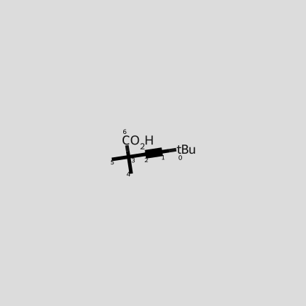 CC(C)(C)C#CC(C)(C)C(=O)O